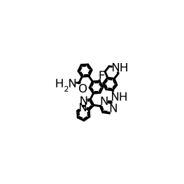 NC(=O)c1ccccc1-c1cc(-c2nn3ccccc3c2-c2ccnc(Nc3ccc4c(c3)CNCC4)n2)ccc1F